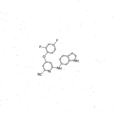 N#Cc1cc(Oc2ccc(F)cc2F)cc(Nc2ccc3cc[nH]c3c2)n1